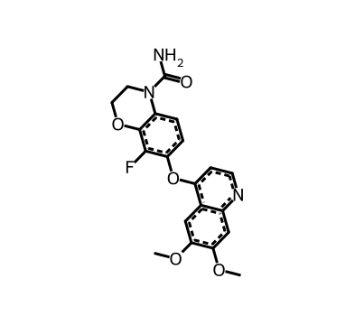 COc1cc2nccc(Oc3ccc4c(c3F)OCCN4C(N)=O)c2cc1OC